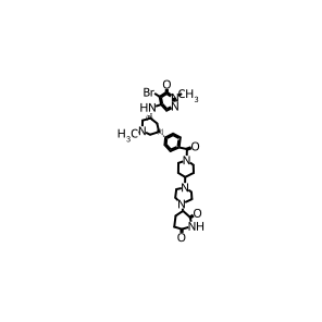 CN1C[C@H](Nc2cnn(C)c(=O)c2Br)C[C@H](c2ccc(C(=O)N3CCC(N4CCN(C5CCC(=O)NC5=O)CC4)CC3)cc2)C1